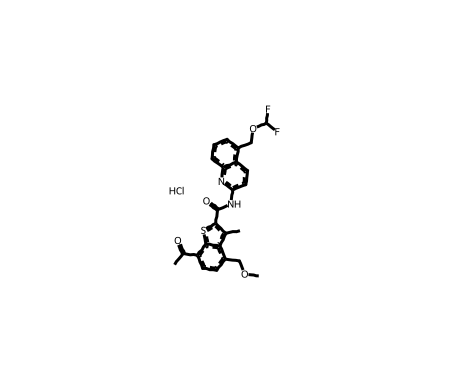 COCc1ccc(C(C)=O)c2sc(C(=O)Nc3ccc4c(COC(F)F)cccc4n3)c(C)c12.Cl